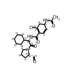 CC(=O)NC1C=CC(C(=O)N[C@H](C(=O)N2CCC[C@H]2C=O)C2CCCCC2)=C(Cl)C1